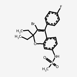 CCC1(CC)Oc2cc(NS(C)(=O)=O)ccc2C(c2ccc(F)cc2)=C1Br